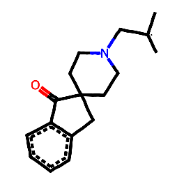 C[C](C)CN1CCC2(CC1)Cc1ccccc1C2=O